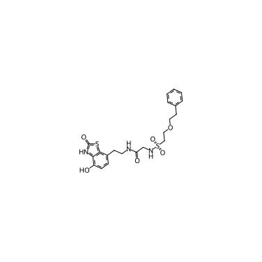 O=C(CNS(=O)(=O)CCOCCc1ccccc1)NCCc1ccc(O)c2[nH]c(=O)sc12